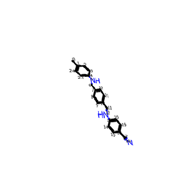 Cc1ccc(NCc2ccc(CNc3ccc(C#N)cc3)cc2)cc1